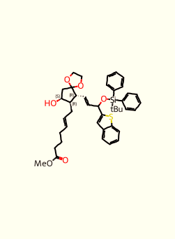 COC(=O)CCCC=CC[C@@H]1[C@@H](C=CC(O[Si](c2ccccc2)(c2ccccc2)C(C)(C)C)c2cc3ccccc3s2)C2(C[C@@H]1O)OCCO2